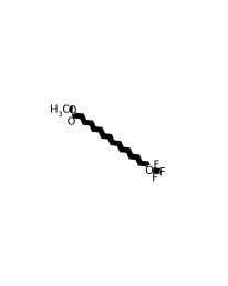 COC(=O)CCCCCCCCCCCCCCCOC(F)(F)F